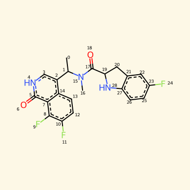 CC(c1c[nH]c(=O)c2c(F)c(F)ccc12)N(C)C(=O)C1Cc2cc(F)ccc2N1